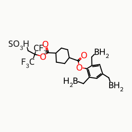 BCc1cc(CB)c(OC(=O)C2CCC(C(=O)OC(CS(=O)(=O)O)(C(F)(F)F)C(F)(F)F)CC2)c(CB)c1